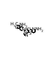 C[C@@H]1OCC2(CCN(c3ncc(Sc4ccc(N)nc4Cl)c4nccn34)CC2)[C@@H]1N